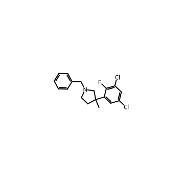 CC1(c2cc(Cl)cc(Cl)c2F)CCN(Cc2ccccc2)C1